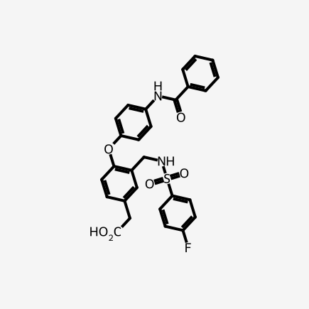 O=C(O)Cc1ccc(Oc2ccc(NC(=O)c3ccccc3)cc2)c(CNS(=O)(=O)c2ccc(F)cc2)c1